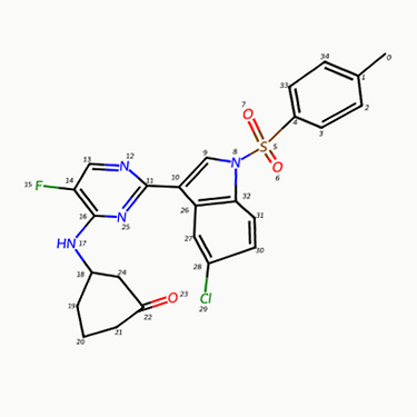 Cc1ccc(S(=O)(=O)n2cc(-c3ncc(F)c(NC4CCCC(=O)C4)n3)c3cc(Cl)ccc32)cc1